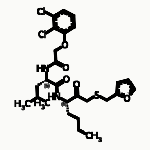 CCCC[C@H](NC(=O)[C@H](CC(C)C)NC(=O)COc1cccc(Cl)c1Cl)C(=O)CSCc1ccco1